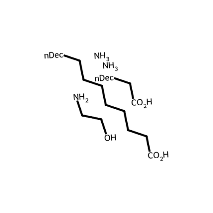 CCCCCCCCCCCC(=O)O.CCCCCCCCCCCCCCCCCC(=O)O.N.N.NCCO